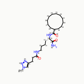 CC(C)n1cc(CCC(=O)NCCCC[C@H](NC(=O)C2CCCCCCCCCCC2)C(N)=O)nn1